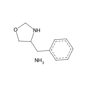 N.c1ccc(CC2COCN2)cc1